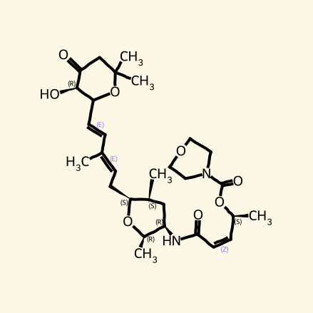 CC(/C=C/C1OC(C)(C)CC(=O)[C@@H]1O)=C\C[C@@H]1O[C@H](C)[C@H](NC(=O)/C=C\[C@H](C)OC(=O)N2CCOCC2)C[C@@H]1C